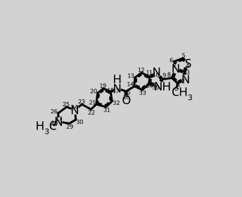 Cc1nc2sccn2c1-c1nc2ccc(C(=O)Nc3ccc(CCN4CCN(C)CC4)cc3)cc2[nH]1